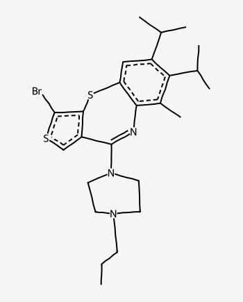 CCCN1CCN(C2=Nc3c(cc(C(C)C)c(C(C)C)c3C)Sc3c2csc3Br)CC1